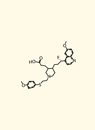 COc1ccc(SCCN2CCC(CC[C@H](F)c3ccnc4ccc(OC)cc34)C(CCC(=O)O)C2)cc1